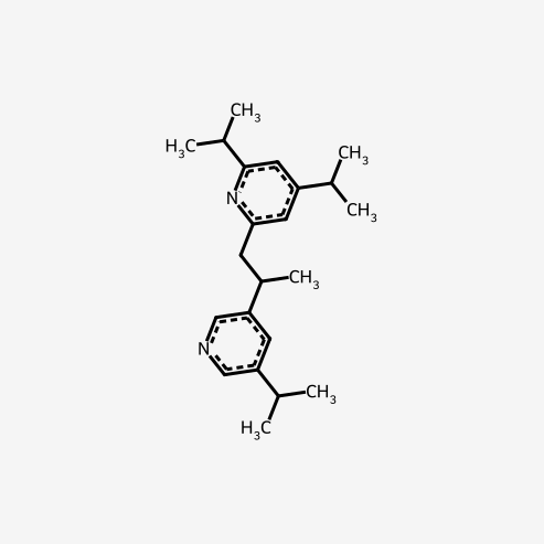 CC(C)c1cncc(C(C)Cc2cc(C(C)C)cc(C(C)C)n2)c1